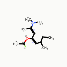 CCC(C)/C=C(\C=C(/C)N(C)C)OC(C)F